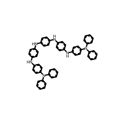 c1ccc(N(c2ccccc2)c2ccc(Nc3ccc(Nc4ccc(Nc5ccc(Nc6ccc(N(c7ccccc7)c7ccccc7)cc6)cc5)cc4)cc3)cc2)cc1